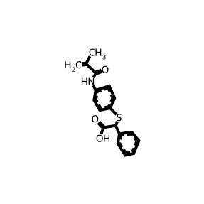 C=C(C)C(=O)Nc1ccc(SC(C(=O)O)c2ccccc2)cc1